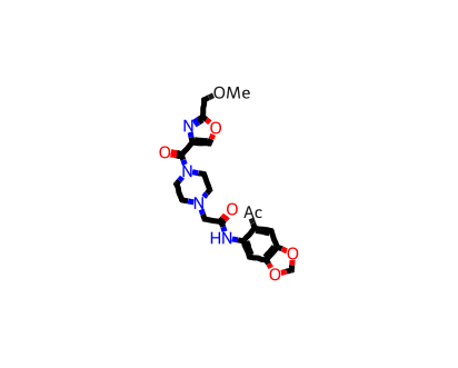 COCc1nc(C(=O)N2CCN(CC(=O)Nc3cc4c(cc3C(C)=O)OCO4)CC2)co1